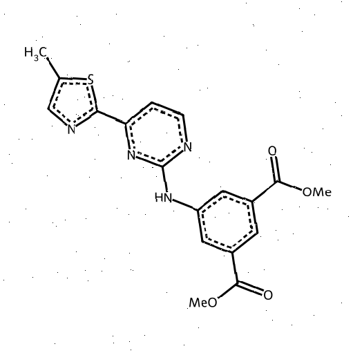 COC(=O)c1cc(Nc2nccc(-c3ncc(C)s3)n2)cc(C(=O)OC)c1